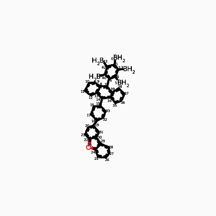 Bc1c(B)c(B)c(-c2c3ccccc3c(-c3ccc(-c4ccc5oc6ccccc6c5c4)cc3)c3ccccc23)c(B)c1B